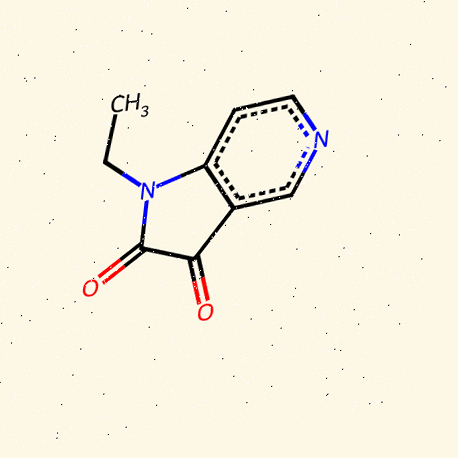 CCN1C(=O)C(=O)c2cnccc21